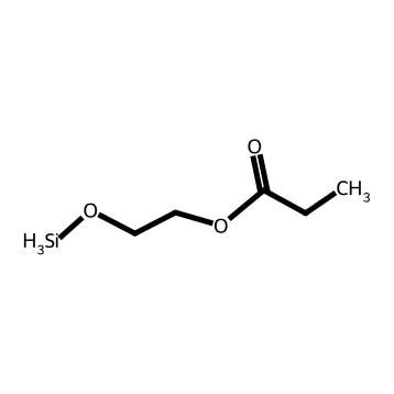 CCC(=O)OCCO[SiH3]